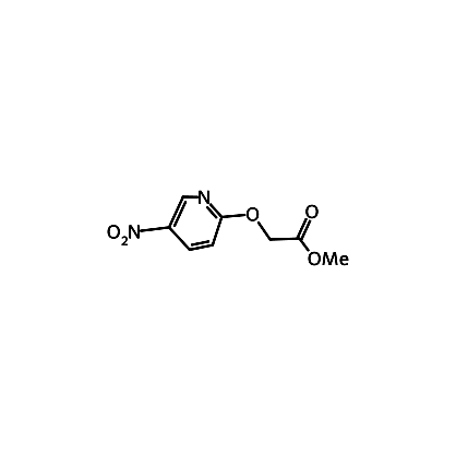 COC(=O)COc1ccc([N+](=O)[O-])cn1